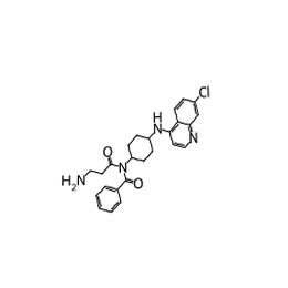 NCCC(=O)N(C(=O)c1ccccc1)C1CCC(Nc2ccnc3cc(Cl)ccc23)CC1